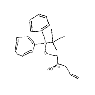 C=CC[C@@H](O)CO[Si](c1ccccc1)(c1ccccc1)C(C)(C)C